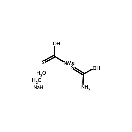 CNC(O)=S.NC(O)=S.O.O.[NaH]